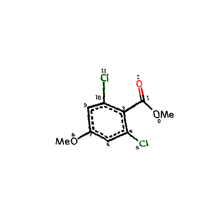 COC(=O)c1c(Cl)cc(OC)cc1Cl